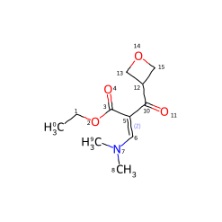 CCOC(=O)/C(=C\N(C)C)C(=O)C1COC1